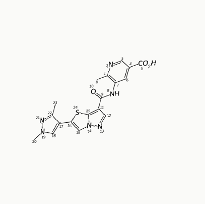 Cc1ncc(C(=O)O)cc1NC(=O)c1cnn2cc(-c3cn(C)nc3C)sc12